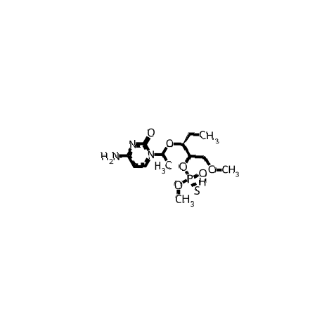 CC[C@H](OC(C)n1ccc(N)nc1=O)C(COC)OP(O)(=S)OC